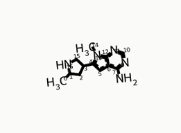 CC1CC(c2cc3c(N)ncnc3n2C)CN1